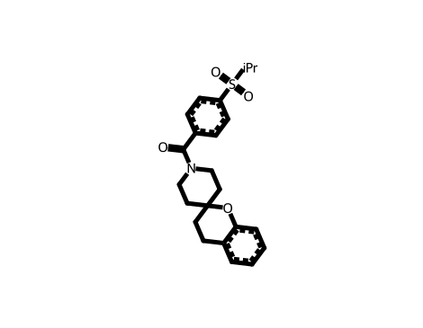 CC(C)S(=O)(=O)c1ccc(C(=O)N2CCC3(CCc4ccccc4O3)CC2)cc1